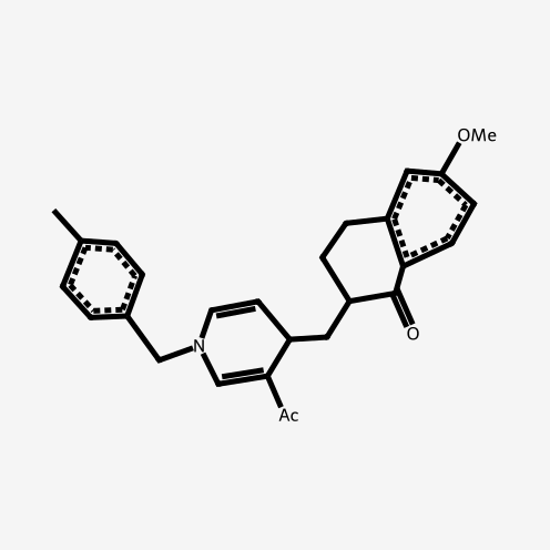 COc1ccc2c(c1)CCC(CC1C=CN(Cc3ccc(C)cc3)C=C1C(C)=O)C2=O